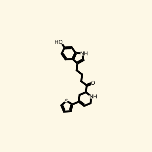 O=C(CCCc1c[nH]c2cc(O)ccc12)C1CC(c2cccs2)=CCN1